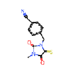 CN1C(=O)C(=S)N(Cc2ccc(C#N)cc2)C1=O